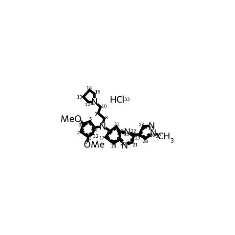 COc1cc(OC)cc(N(CCCN2CCCC2)c2ccc3ncc(-c4cnn(C)c4)nc3c2)c1.Cl